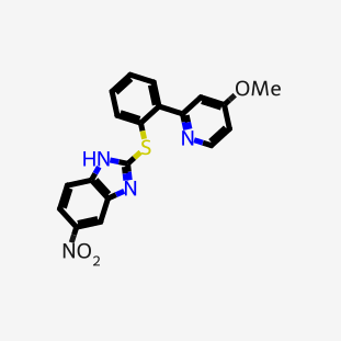 COc1ccnc(-c2ccccc2Sc2nc3cc([N+](=O)[O-])ccc3[nH]2)c1